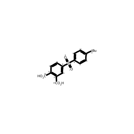 CC(C)(C)c1ccc(S(=O)(=O)c2ccc(C(=O)O)c(C(=O)O)c2)cc1